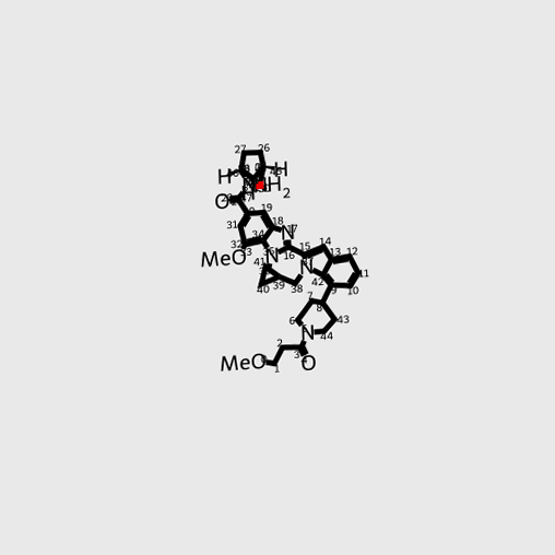 COCCC(=O)N1CCC(c2cccc3cc(-c4nc5cc(C(=O)N6C[C@H]7CC[C@@H]6[C@@H]7N)cc(OC)c5n4C)n(CC4CC4)c23)CC1